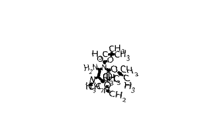 C=NOC(C)(C)/C(N=C)=C(/N)N(C(=O)OC(C)(C)C)C(=O)OC(C)(C)C